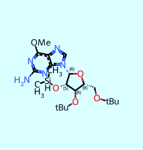 COc1nc(N)nc2c1ncn2[C@@H]1O[C@H](COC(C)(C)C)[C@@H](OC(C)(C)C)[C@@H]1O[SiH](C)C